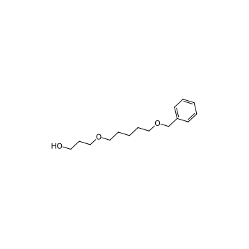 OCCCOCCCCCOCc1ccccc1